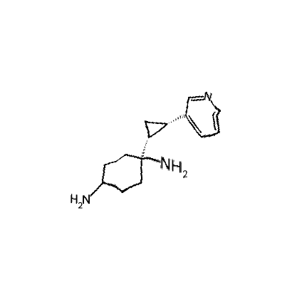 NC1CCC(N)([C@@H]2C[C@@H]2c2cccnc2)CC1